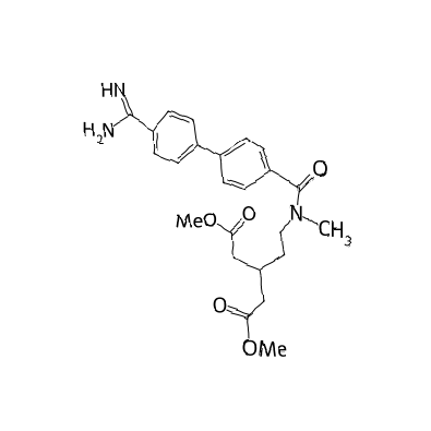 COC(=O)CC(CCN(C)C(=O)c1ccc(-c2ccc(C(=N)N)cc2)cc1)CC(=O)OC